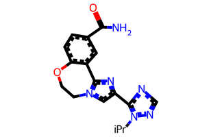 CC(C)n1ncnc1-c1cn2c(n1)-c1cc(C(N)=O)ccc1OCC2